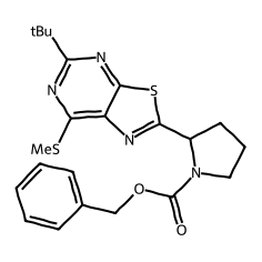 CSc1nc(C(C)(C)C)nc2sc(C3CCCN3C(=O)OCc3ccccc3)nc12